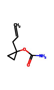 C=CCC1(OC(N)=O)CC1